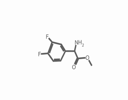 COC(=O)C(N)c1ccc(F)c(F)c1